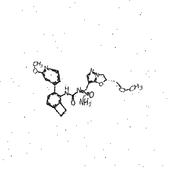 COC[C@H]1Cn2ncc(S(N)(=O)=NC(=O)Nc3c(-c4ccnc(OC)c4)ccc4c3CC4)c2O1